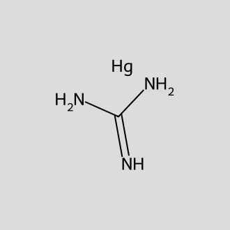 N=C(N)N.[Hg]